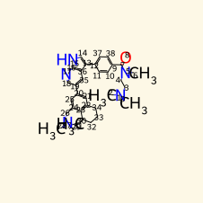 CN(C)CCN(C)C(=O)c1ccc(-c2c[nH]c3ncc(-c4cc5c6c(c4)CN(C)CC6(C)CCC5)cc23)cc1